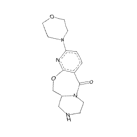 O=C1c2ccc(N3CCOCC3)nc2OCC2CNCCN12